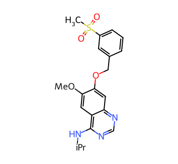 COc1cc2c(NC(C)C)ncnc2cc1OCc1cccc(S(C)(=O)=O)c1